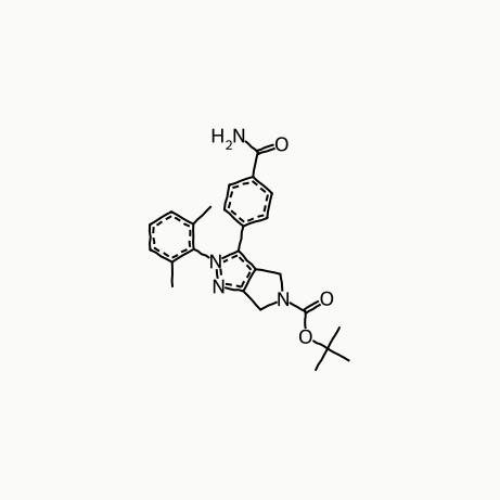 Cc1cccc(C)c1-n1nc2c(c1-c1ccc(C(N)=O)cc1)CN(C(=O)OC(C)(C)C)C2